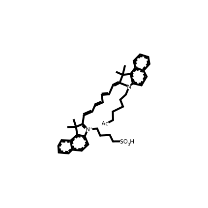 CC(=O)CCCCCN1\C(=C/C=C/C=C/C=C/C2=[N+](CCCCS(=O)(=O)O)c3ccc4ccccc4c3C2(C)C)C(C)(C)c2c1ccc1ccccc21